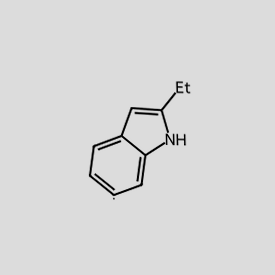 CCc1cc2cc[c]cc2[nH]1